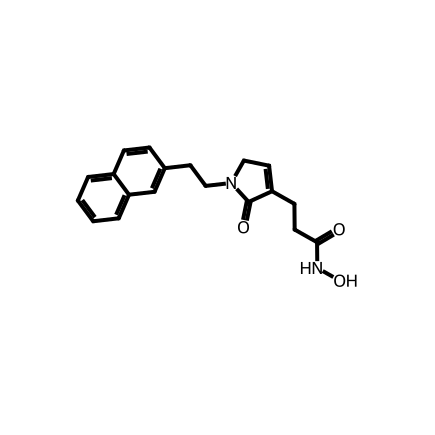 O=C(CCC1=CCN(CCc2ccc3ccccc3c2)C1=O)NO